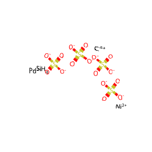 O=S(=O)([O-])[O-].O=S(=O)([O-])[O-].O=S(=O)([O-])[O-].O=S(=O)([O-])[O-].[C+4].[Ni+2].[Pd+2].[SiH4]